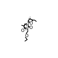 CCCOCCn1c(=O)c(C)cn([C@H]2C[C@H](C)[C@@H](CC)O2)c1=O